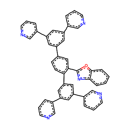 c1cncc(-c2cc(-c3cccnc3)cc(-c3ccc(-c4cc(-c5cccnc5)cc(-c5cccnc5)c4)c(-c4nc5ccccc5o4)c3)c2)c1